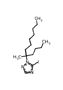 CCCCCCCC(C)(CCCC)n1ncnc1I